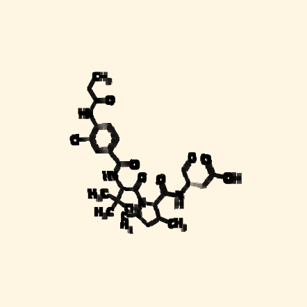 CCC(=O)Nc1ccc(C(=O)NC(C(=O)N2C(C)CC(C)C2C(=O)N[C@H](C=O)CC(=O)O)C(C)(C)C)cc1Cl